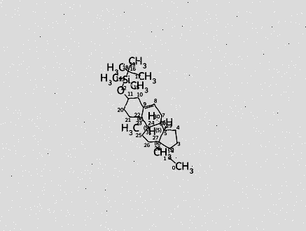 CC[C@H]1CC[C@H]2[C@@H]3CC=C4CC(O[Si](C)(C)C(C)(C)C)CC[C@]4(C)[C@H]3CC[C@]12C